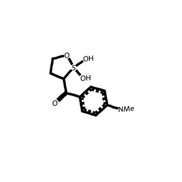 CNc1ccc(C(=O)C2CCOS2(O)O)cc1